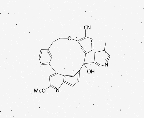 COc1cc2c3cc(ccc3n1)C(O)(C1=CN=CC(C)C1)c1ccc(C#N)c(c1)OCCc1cccc-2c1